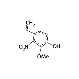 C=Cc1ccc(O)c(OC)c1[N+](=O)[O-]